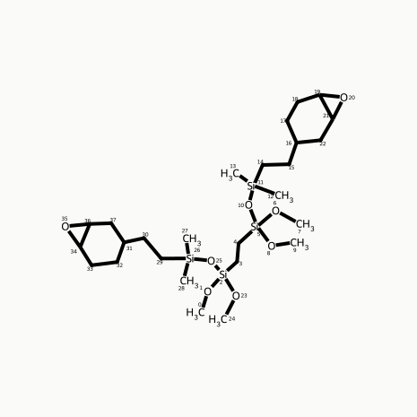 CO[Si](CC[Si](OC)(OC)O[Si](C)(C)CCC1CCC2OC2C1)(OC)O[Si](C)(C)CCC1CCC2OC2C1